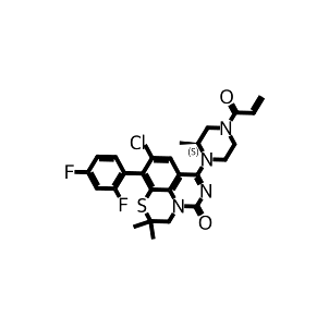 C=CC(=O)N1CCN(c2nc(=O)n3c4c(c(-c5ccc(F)cc5F)c(Cl)cc24)SC(C)(C)C3)[C@@H](C)C1